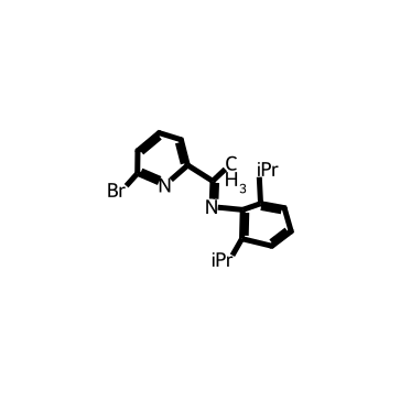 C/C(=N\c1c(C(C)C)cccc1C(C)C)c1cccc(Br)n1